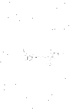 CC(C)(C)OC(=O)N=C(N)N(CCCCCC(=O)Nc1ccc(Cl)c(C(=O)NCCC(=O)O)c1)C(=O)OC(C)(C)C